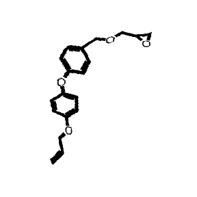 C=CCOc1ccc(Oc2ccc(COCC3CO3)cc2)cc1